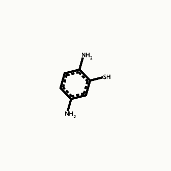 Nc1ccc(N)c(S)c1